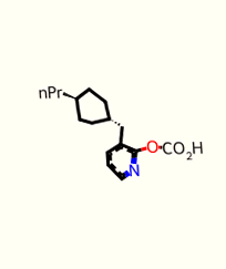 CCC[C@H]1CC[C@H](Cc2cccnc2OC(=O)O)CC1